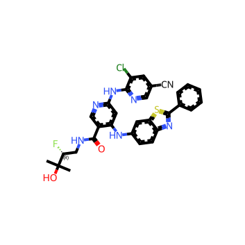 CC(C)(O)[C@H](F)CNC(=O)c1cnc(Nc2ncc(C#N)cc2Cl)cc1Nc1ccc2nc(-c3ccccc3)sc2c1